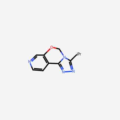 CC(C)c1nnc2n1COc1cnccc1-2